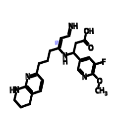 COc1ncc(C(CC(=O)O)N/C(=C\C=N)CCCc2ccc3c(n2)NCCC3)cc1F